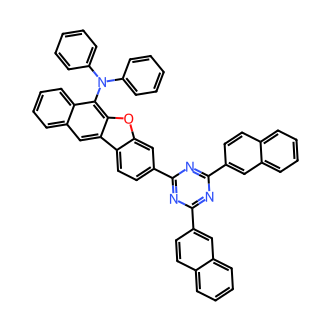 c1ccc(N(c2ccccc2)c2c3ccccc3cc3c2oc2cc(-c4nc(-c5ccc6ccccc6c5)nc(-c5ccc6ccccc6c5)n4)ccc23)cc1